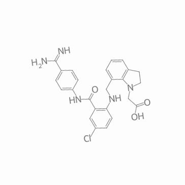 N=C(N)c1ccc(NC(=O)c2cc(Cl)ccc2NCc2cccc3c2N(CC(=O)O)CC3)cc1